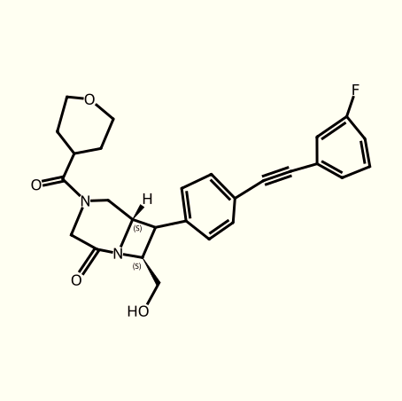 O=C(C1CCOCC1)N1CC(=O)N2[C@H](CO)C(c3ccc(C#Cc4cccc(F)c4)cc3)[C@H]2C1